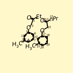 CCC(=O)COc1cccc(C)c1.CCCC(=O)COc1cccc(C)c1